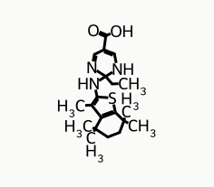 CCC1(Nc2sc3c(c2C)C(C)(C)CCC3(C)C)N=CC(C(=O)O)=CN1